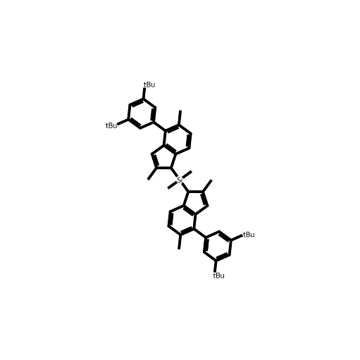 CC1=Cc2c(ccc(C)c2-c2cc(C(C)(C)C)cc(C(C)(C)C)c2)C1[Si](C)(C)C1C(C)=Cc2c1ccc(C)c2-c1cc(C(C)(C)C)cc(C(C)(C)C)c1